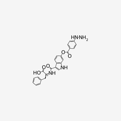 NNc1ccc(C(=O)Oc2ccc3c(C(=O)N[C@@H](Cc4ccccc4)C(=O)O)c[nH]c3c2)cc1